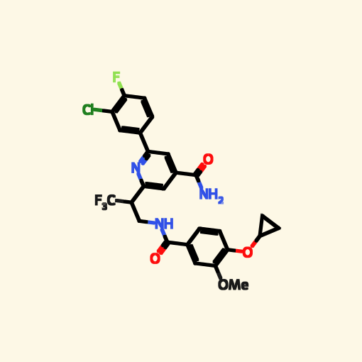 COc1cc(C(=O)NCC(c2cc(C(N)=O)cc(-c3ccc(F)c(Cl)c3)n2)C(F)(F)F)ccc1OC1CC1